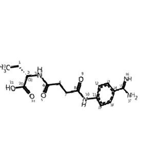 CC[C@H](NC(=O)CCC(=O)Nc1ccc(C(=N)N)cc1)C(=O)O